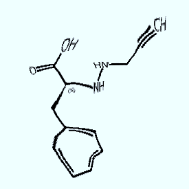 C#CCNN[C@@H](Cc1ccccc1)C(=O)O